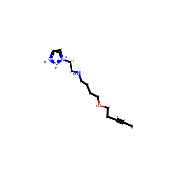 CC#CCCOCCCCNCCn1ccnn1